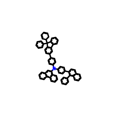 C1=CCC(C2(c3ccccc3)c3ccccc3-c3cc(-c4ccc(N(c5ccc(-c6ccc7ccccc7c6-c6ccccc6)cc5)c5cc6ccccc6c6ccccc56)cc4)ccc32)C=C1